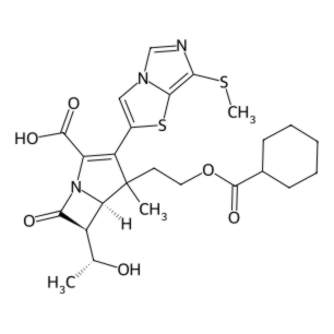 CSc1ncn2cc(C3=C(C(=O)O)N4C(=O)[C@H]([C@@H](C)O)[C@@H]4C3(C)CCOC(=O)C3CCCCC3)sc12